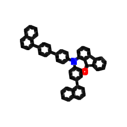 O=C1c2ccccc2-c2cccc(N(c3ccc(-c4ccc(-c5cccc6ccccc56)cc4)cc3)c3ccc(-c4cccc5ccccc45)cc3)c21